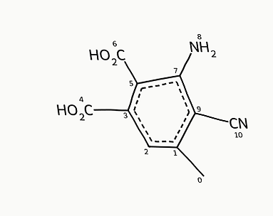 Cc1cc(C(=O)O)c(C(=O)O)c(N)c1C#N